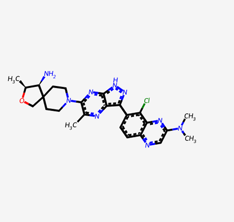 Cc1nc2c(-c3ccc4ncc(N(C)C)nc4c3Cl)n[nH]c2nc1N1CCC2(CC1)CO[C@@H](C)[C@H]2N